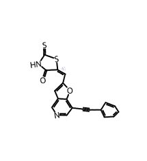 O=C1NC(=S)S/C1=C/c1cc2cncc(C#Cc3ccccc3)c2o1